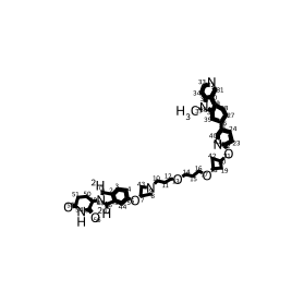 [2H]C1c2ccc(OC3CN(CCCOCCCOC4CC(Oc5ccc(-c6ccc7c8cnccc8n(C)c7c6)cn5)C4)C3)cc2C([2H])N1C1CCC(=O)NC1=O